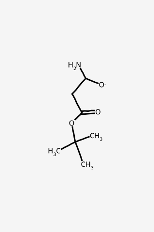 CC(C)(C)OC(=O)CC(N)[O]